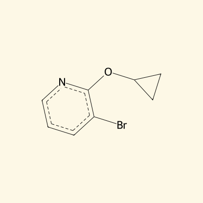 Brc1cccnc1OC1CC1